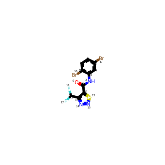 O=C(Nc1cc(Br)ccc1Br)c1snnc1C(F)F